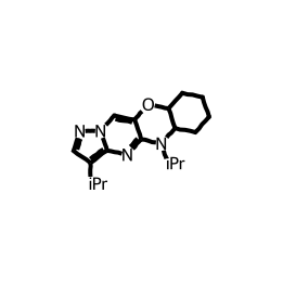 CC(C)c1cnn2cc3c(nc12)N(C(C)C)C1CCCCC1O3